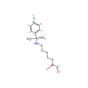 CC(C)(NCCCCCC(=O)C=O)c1ccc(Cl)cc1